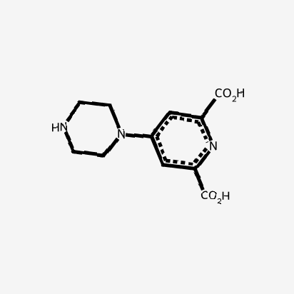 O=C(O)c1cc(N2CCNCC2)cc(C(=O)O)n1